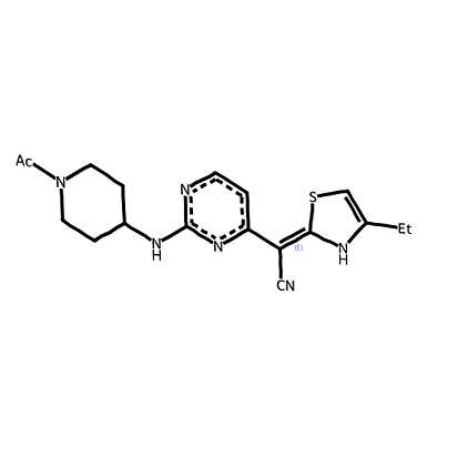 CCC1=CS/C(=C(/C#N)c2ccnc(NC3CCN(C(C)=O)CC3)n2)N1